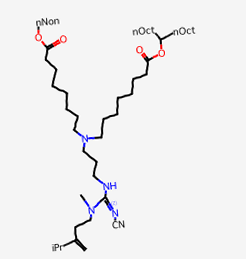 C=C(CCN(C)/C(=N\C#N)NCCCN(CCCCCCCC(=O)OCCCCCCCCC)CCCCCCCC(=O)OC(CCCCCCCC)CCCCCCCC)C(C)C